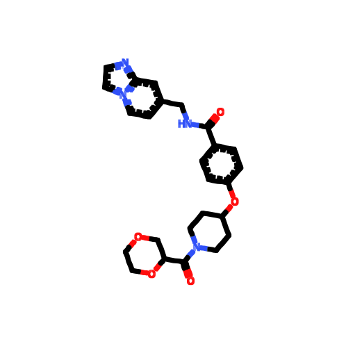 O=C(NCc1ccn2ccnc2c1)c1ccc(OC2CCN(C(=O)C3COCCO3)CC2)cc1